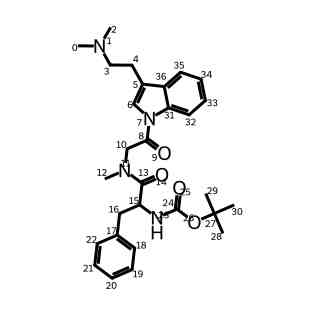 CN(C)CCc1cn(C(=O)CN(C)C(=O)C(Cc2ccccc2)NC(=O)OC(C)(C)C)c2ccccc12